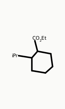 CCOC(=O)C1CCCCC1C(C)C